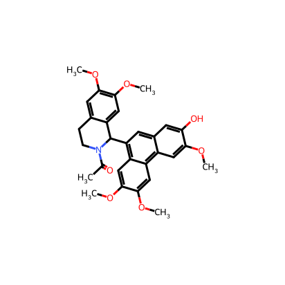 COc1cc2c(cc1O)cc(C1c3cc(OC)c(OC)cc3CCN1C(C)=O)c1cc(OC)c(OC)cc12